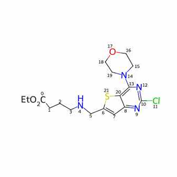 CCOC(=O)CCCNCc1cc2nc(Cl)nc(N3CCOCC3)c2s1